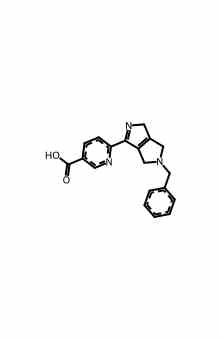 O=C(O)c1ccc(C2=NCC3=C2CN(Cc2ccccc2)C3)nc1